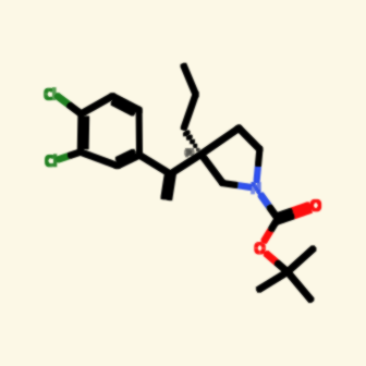 C=C(c1ccc(Cl)c(Cl)c1)[C@@]1(CCC)CCN(C(=O)OC(C)(C)C)C1